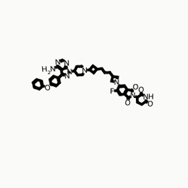 Nc1ncnc2c1c(-c1ccc(Oc3ccccc3)cc1)nn2C1CCN(C2CC(CCCC3CN(c4cc5c(cc4F)C(=O)N(C4CCC(=O)NC4=O)C5=O)C3)C2)CC1